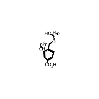 CCCC.O=C(O)c1ccc(CO[PH](=O)O)cc1